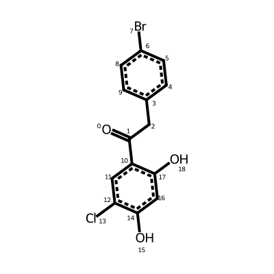 O=C(Cc1ccc(Br)cc1)c1cc(Cl)c(O)cc1O